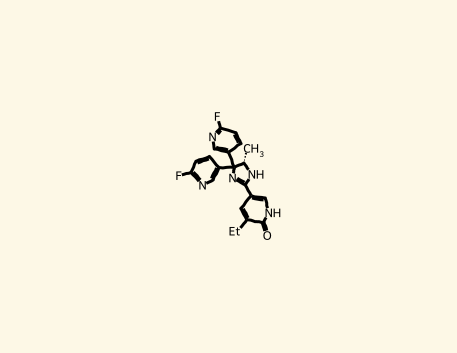 CCc1cc(C2=NC(c3ccc(F)nc3)(c3ccc(F)nc3)[C@H](C)N2)c[nH]c1=O